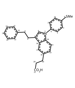 CSc1ccc(-n2cc(CCc3ccccc3)c3cc(CCC(=O)O)ccc32)cc1